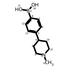 CN1CCC(c2ccc(B(O)O)cc2)CC1